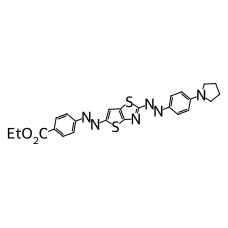 CCOC(=O)c1ccc(N=Nc2cc3sc(N=Nc4ccc(N5CCCC5)cc4)nc3s2)cc1